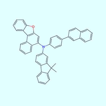 CC1(C)c2ccccc2-c2ccc(N(c3ccc(-c4ccc5ccccc5c4)cc3)c3cc4oc5ccccc5c4c4ccccc34)cc21